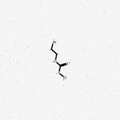 CCSC(=S)OCCC(C)C